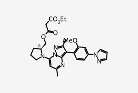 CCOC(=O)CC(=O)OC[C@@H]1CCCN1c1cc(C)nc2c(-c3ccc(-n4cccn4)cc3OC)c(C)nn12